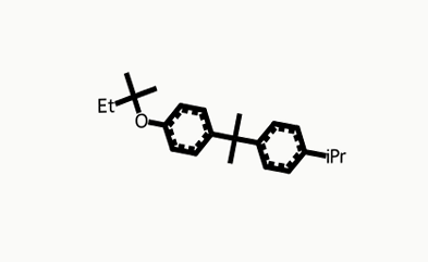 CCC(C)(C)Oc1ccc(C(C)(C)c2ccc(C(C)C)cc2)cc1